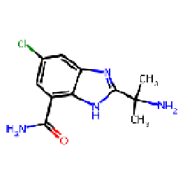 CC(C)(N)c1nc2cc(Cl)cc(C(N)=O)c2[nH]1